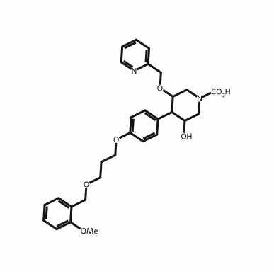 COc1ccccc1COCCCOc1ccc(C2C(O)CN(C(=O)O)CC2OCc2ccccn2)cc1